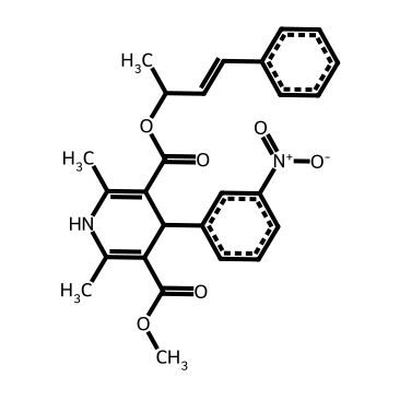 COC(=O)C1=C(C)NC(C)=C(C(=O)OC(C)/C=C/c2ccccc2)C1c1cccc([N+](=O)[O-])c1